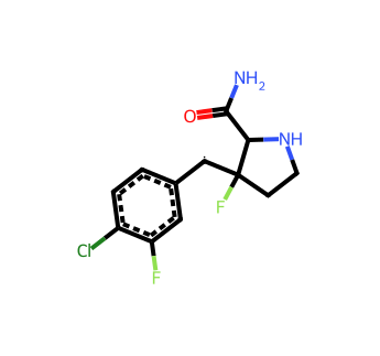 NC(=O)C1NCCC1(F)[CH]c1ccc(Cl)c(F)c1